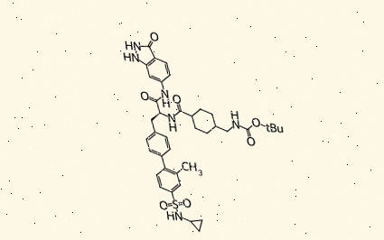 Cc1cc(S(=O)(=O)NC2CC2)ccc1-c1ccc(C[C@H](NC(=O)C2CCC(CNC(=O)OC(C)(C)C)CC2)C(=O)Nc2ccc3c(=O)[nH][nH]c3c2)cc1